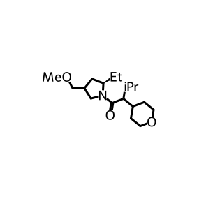 CC[C@@H]1CC(COC)CN1C(=O)C(C(C)C)C1CCOCC1